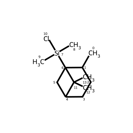 CC1CCC2CC1([Si](C)(C)Cl)C2(C)C